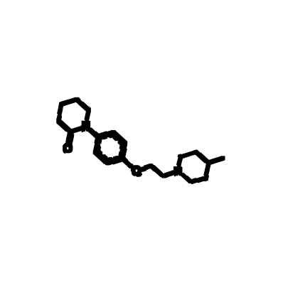 CC1CCN(CCOc2ccc(N3CCCCC3=O)cc2)CC1